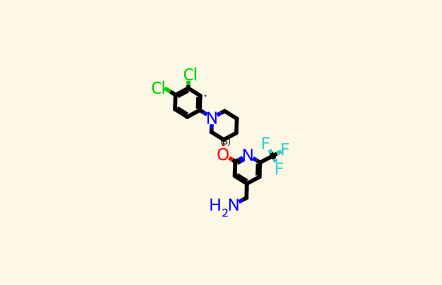 NCc1cc(O[C@H]2CCCN(c3[c]c(Cl)c(Cl)cc3)C2)nc(C(F)(F)F)c1